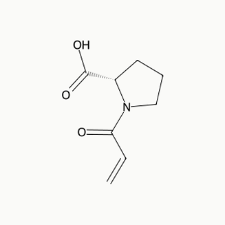 C=CC(=O)N1CCC[C@H]1C(=O)O